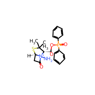 CC1(C)S[C@@H]2CC(=O)[N+]2(N)[C@H]1C(=O)OP(=O)(c1ccccc1)c1ccccc1